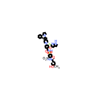 CC(C)c1ccccc1[C@@H]1CCCN1C1CC2(CCN(c3ccc(C(=O)NS(=O)(=O)c4cc5c(c([N+](=O)[O-])c4)N[C@@H]([C@H]4CC[C@](C)(O)CC4)CO5)c(Oc4cc5cc[nH]c5nc4F)c3)CC2)C1